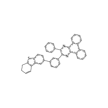 C1=Cc2c(sc3ccc(-c4cccc(-c5nc6c7ccccc7c7ccccc7c6nc5-c5ccccc5)c4)cc23)CC1